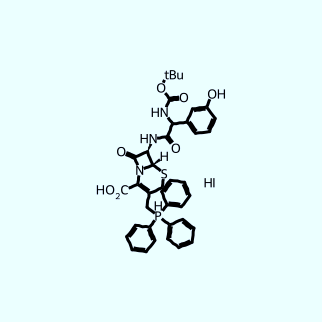 CC(C)(C)OC(=O)NC(C(=O)N[C@@H]1C(=O)N2C(C(=O)O)=C(C[PH](c3ccccc3)(c3ccccc3)c3ccccc3)CS[C@@H]12)c1cccc(O)c1.I